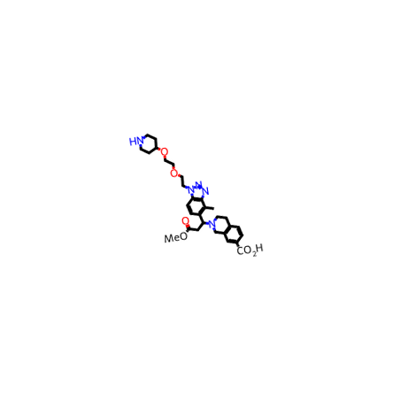 COC(=O)CC(c1ccc2c(nnn2CCOCCOC2CCNCC2)c1C)N1CCc2ccc(C(=O)O)cc2C1